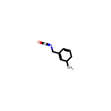 CC1C=C(CN=C=O)C=CC1